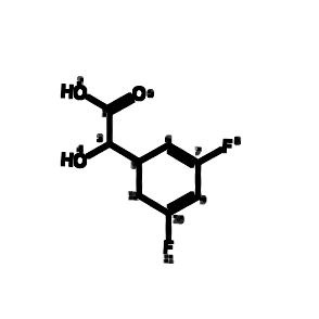 O=C(O)C(O)C1C=C(F)C=C(F)C1